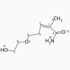 CC(=CCCOCCO)C(N)=O